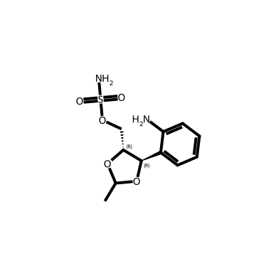 CC1O[C@H](c2ccccc2N)[C@@H](COS(N)(=O)=O)O1